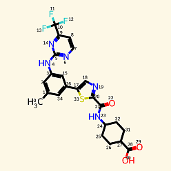 Cc1cc(Nc2nccc(C(F)(F)F)n2)cc(-c2cnc(C(=O)NC3CCC(C(=O)O)CC3)s2)c1